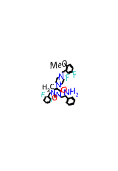 COc1ccc(F)c(F)c1CN1CCN(c2c(C)n(Cc3c(F)cccc3F)c(=O)n(C[C@H](N)c3ccccc3)c2=O)CC1